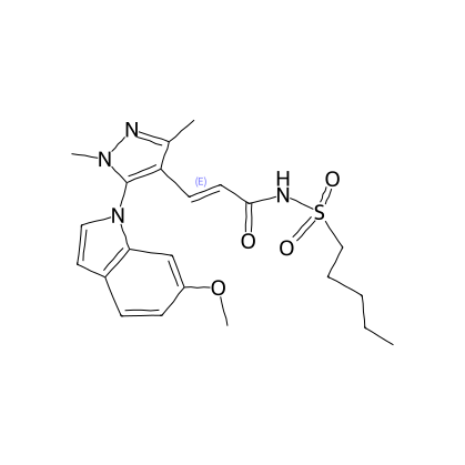 CCCCCS(=O)(=O)NC(=O)/C=C/c1c(C)nn(C)c1-n1ccc2ccc(OC)cc21